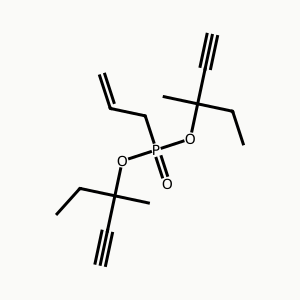 C#CC(C)(CC)OP(=O)(CC=C)OC(C)(C#C)CC